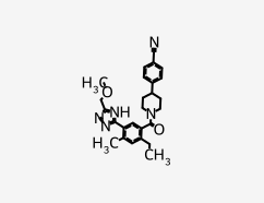 CCc1cc(C)c(-c2nnc(COC)[nH]2)cc1C(=O)N1CCC(c2ccc(C#N)cc2)CC1